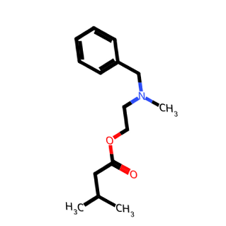 CC(C)CC(=O)OCCN(C)Cc1ccccc1